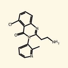 Cc1ncccc1-n1c(CCN)nc2cccc(Cl)c2c1=O